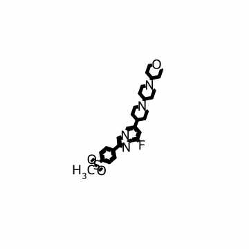 CS(=O)(=O)c1ccc(-c2cn3cc(C4CCN(C5CCN(C6CCOCC6)CC5)CC4)cc(F)c3n2)cc1